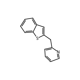 [c]1ccc(Cc2cc3ccccc3s2)nc1